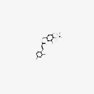 CCCc1cc(C(F)(F)F)ccc1C=CC(=O)N[C@H](C)c1cc(F)c(NS(C)(=O)=O)c(F)c1